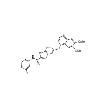 COc1cc2nccc(Oc3ccc4oc(C(=O)Nc5cccc(F)c5)cc4c3)c2cc1OC